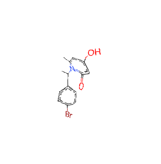 Cc1cc(O)cc(=O)n1C(C)c1ccc(Br)cc1